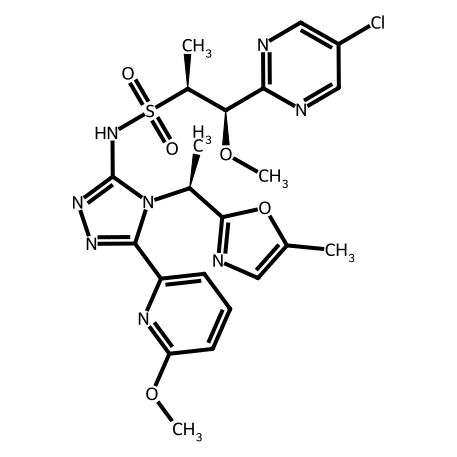 COc1cccc(-c2nnc(NS(=O)(=O)[C@@H](C)[C@H](OC)c3ncc(Cl)cn3)n2[C@@H](C)c2ncc(C)o2)n1